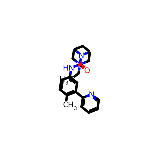 CCN1CC2CC(C1)N2C(=O)Nc1ccc(C)c(-c2ccccn2)c1